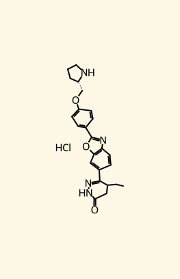 CCC1CC(=O)NN=C1c1ccc2nc(-c3ccc(OC[C@@H]4CCCN4)cc3)oc2c1.Cl